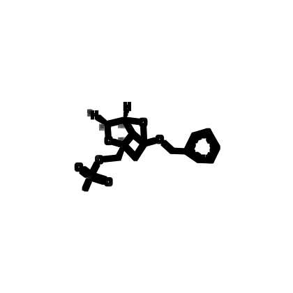 [3H][C@@H]1O[C@@]2(COS(C)(=O)=O)CC3(OCc4ccccc4)O[C@H]1C32